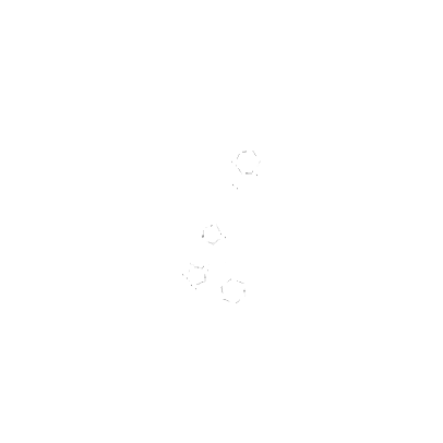 Cc1cnc(N2CCC(c3nc(C(Oc4ccccc4)n4cnnn4)cs3)CC2)nc1